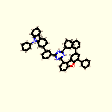 c1ccc(-c2cc(-c3ccccc3)c3oc4cccc(-c5nc(-c6ccccc6)nc(-c6cccc(-c7ccc8c9ccccc9n(-c9ccccc9)c8c7)c6)n5)c4c3c2)cc1